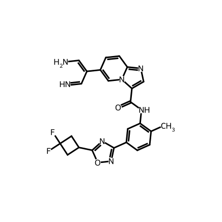 Cc1ccc(-c2noc(C3CC(F)(F)C3)n2)cc1NC(=O)c1cnc2ccc(/C(C=N)=C/N)cn12